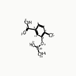 O=C(O)c1ccc(Cl)c(OB(O)O)c1